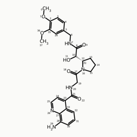 COc1ccc(CNC(=O)C(O)[C@@H]2CCCN2C(=O)CNC(=O)c2ccnc3c(N)cccc23)cc1OC